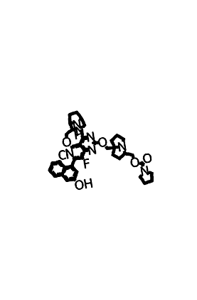 O=C(OCC1CCC2(COc3nc4c5c(nc(-c6cc(O)cc7cccc(Cl)c67)c(F)c5n3)OCC3C5CCC(CN43)N5)CCCN12)N1CCCC1